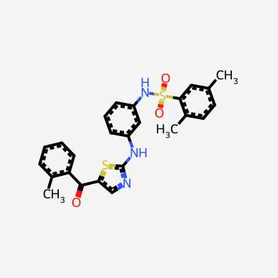 Cc1ccc(C)c(S(=O)(=O)Nc2cccc(Nc3ncc(C(=O)c4ccccc4C)s3)c2)c1